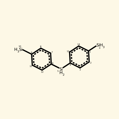 [SiH3]c1ccc([SiH2]c2ccc([SiH3])cc2)cc1